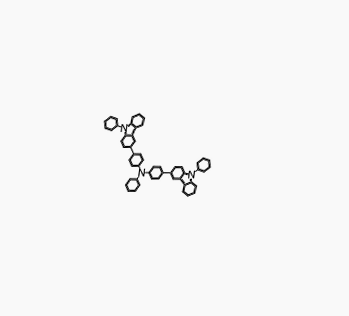 c1ccc(N(c2ccc(-c3ccc4c(c3)c3ccccc3n4-c3ccccc3)cc2)c2ccc(-c3ccc4c(c3)c3ccccc3n4-c3ccccc3)cc2)cc1